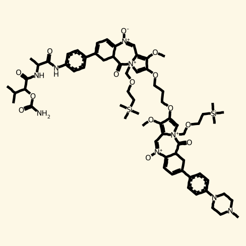 COC1=C2C=[N+]([O-])C3=CC=C(c4ccc(NC(=O)C(C)NC(=O)C(OC(N)=O)C(C)C)cc4)CC3C(=O)[N+]2(COCC[Si](C)(C)C)C=C1OCCCOC1=C[N+]2(COCC[Si](C)(C)C)C(=O)C3CC(c4ccc(N5CCN(C)CC5)cc4)=CC=C3[N+]([O-])=CC2=C1OC